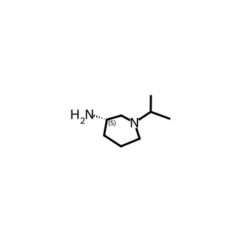 CC(C)N1CCC[C@H](N)C1